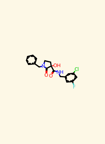 O=C(NCc1cc(F)cc(Cl)c1)[C@@]1(O)CCN(Cc2ccccc2)C1=O